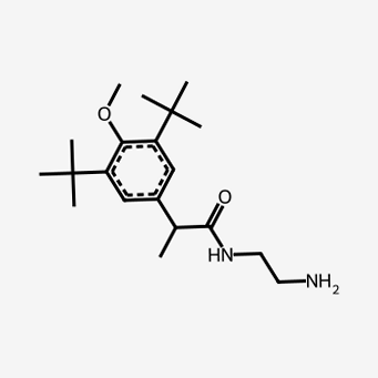 COc1c(C(C)(C)C)cc(C(C)C(=O)NCCN)cc1C(C)(C)C